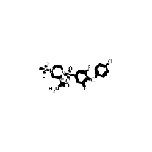 CS(=O)(=O)N1CCN(S(=O)(=O)c2cc(F)c(Oc3ccc(Cl)cc3)c(F)c2)[C@@H](C(N)=O)C1